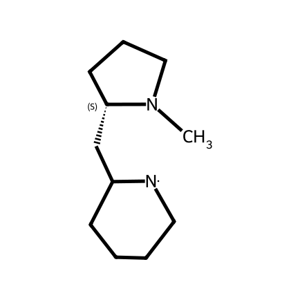 CN1CCC[C@H]1CC1CCCC[N]1